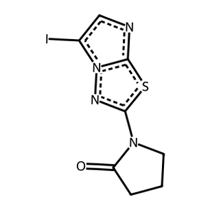 O=C1CCCN1c1nn2c(I)cnc2s1